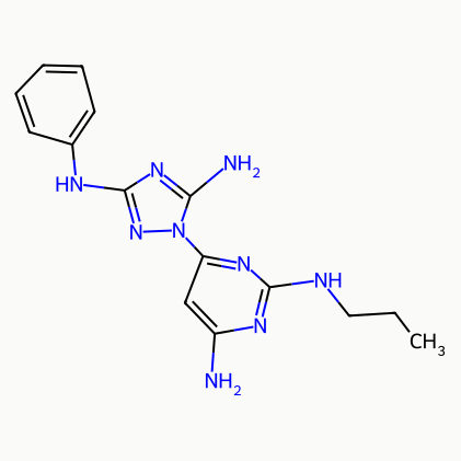 CCCNc1nc(N)cc(-n2nc(Nc3ccccc3)nc2N)n1